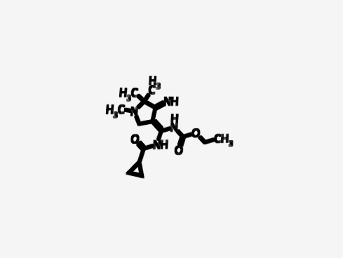 CCOC(=O)N/C(NC(=O)C1CC1)=C1/CN(C)C(C)(C)C1=N